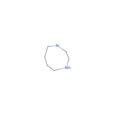 [CH]1CNCCCC[N]1